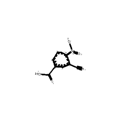 N#Cc1cc(C(=O)O)ccc1[N+](=O)[O-]